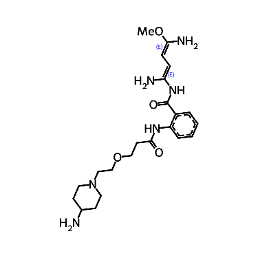 CO/C(N)=C/C=C(\N)NC(=O)c1ccccc1NC(=O)CCOCCN1CCC(N)CC1